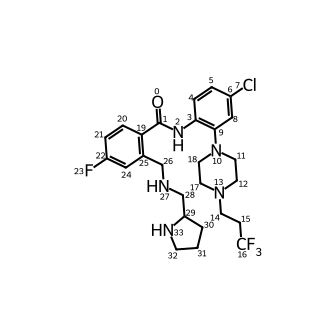 O=C(Nc1ccc(Cl)cc1N1CCN(CCC(F)(F)F)CC1)c1ccc(F)cc1CNCC1CCCN1